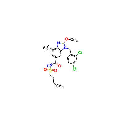 CCCCS(=O)(=O)NC(=O)c1cc(C)c2nc(OC)n(Cc3ccc(Cl)cc3Cl)c2c1